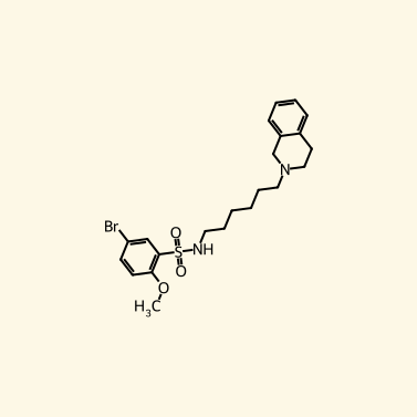 COc1ccc(Br)cc1S(=O)(=O)NCCCCCCN1CCc2ccccc2C1